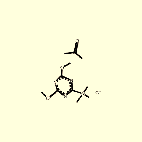 CC(C)=O.COc1nc(OC)nc([N+](C)(C)C)n1.[Cl-]